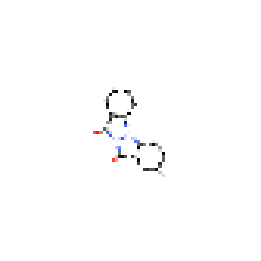 O=c1c2cc(Br)ccc2n2c3cc(Cl)ccc3c(=O)n12